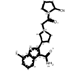 N#CC1CCCN1C(=O)CN1CCC(c2oc3c(F)cccc3c2C(N)=O)C1